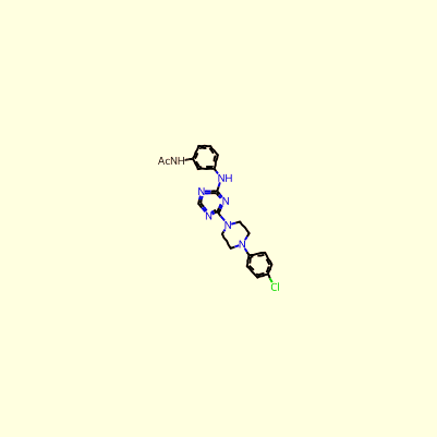 CC(=O)Nc1cccc(Nc2ncnc(N3CCN(c4ccc(Cl)cc4)CC3)n2)c1